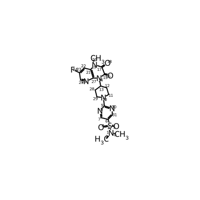 CN(C)S(=O)(=O)c1cnc(N2CCC(n3c(=O)c(=O)n(C)c4cc(F)cnc43)CC2)nc1